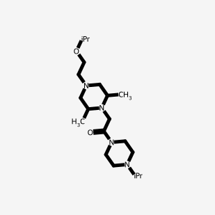 CC(C)OCCN1CC(C)N(CC(=O)N2CCN(C(C)C)CC2)C(C)C1